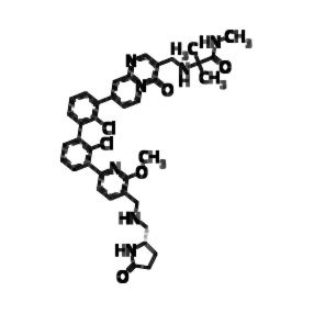 CNC(=O)C(C)(C)NCc1cnc2cc(-c3cccc(-c4cccc(-c5ccc(CNC[C@@H]6CCC(=O)N6)c(OC)n5)c4Cl)c3Cl)ccn2c1=O